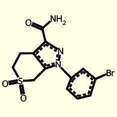 NC(=O)c1nn(-c2cccc(Br)c2)c2c1CCS(=O)(=O)C2